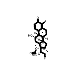 CCCCC(=O)O[C@@]1(C(=O)CF)[C@@H](C)C[C@H]2[C@@H]3CCC4=C(F)C(=O)C=C[C@]4(C)[C@H]3[C@@H](O)C[C@@]21C